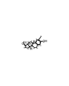 CC[C@]12CC[C@@H]3c4cc(I)c(O)cc4CC[C@H]3[C@@H]1CCC2=O